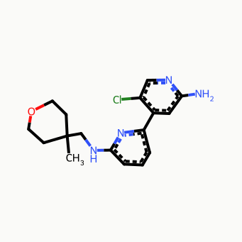 CC1(CNc2cccc(-c3cc(N)ncc3Cl)n2)CCOCC1